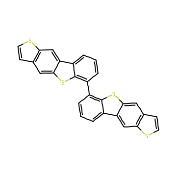 c1cc(-c2cccc3c2sc2cc4ccsc4cc23)c2sc3cc4ccsc4cc3c2c1